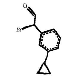 O=CC(Br)c1cccc(C2CC2)c1